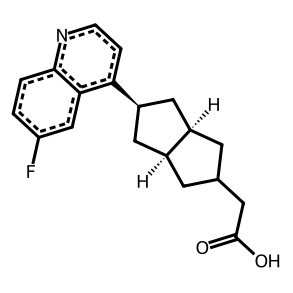 O=C(O)CC1C[C@@H]2C[C@H](c3ccnc4ccc(F)cc34)C[C@@H]2C1